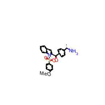 COc1ccc(S(=O)(=O)n2c(C(=O)c3ccc([C@H](C)N)cc3)cc3ccccc32)cc1